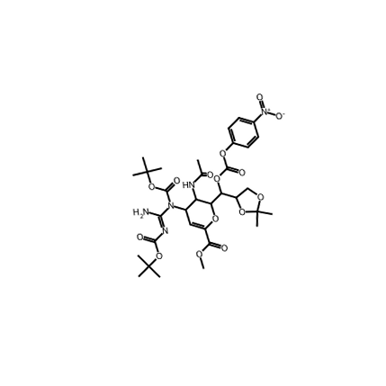 COC(=O)C1=CC(N(C(=O)OC(C)(C)C)C(N)=NC(=O)OC(C)(C)C)C(NC(C)=O)C(C(OC(=O)Oc2ccc([N+](=O)[O-])cc2)C2COC(C)(C)O2)O1